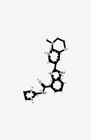 CN1CCOc2cc(-c3nc4c(C(=O)Nc5nccs5)cccc4[nH]3)cnc21